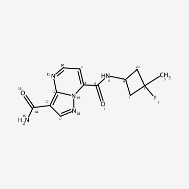 CC1(F)CC(NC(=O)c2ccnc3c(C(N)=O)cnn23)C1